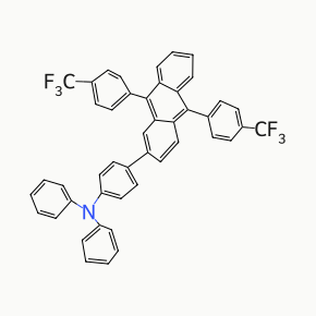 FC(F)(F)c1ccc(-c2c3ccccc3c(-c3ccc(C(F)(F)F)cc3)c3cc(-c4ccc(N(c5ccccc5)c5ccccc5)cc4)ccc23)cc1